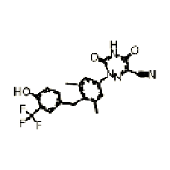 Cc1cc(-n2nc(C#N)c(=O)[nH]c2=O)cc(C)c1Cc1ccc(O)c(C(F)(F)F)c1